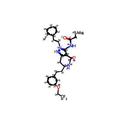 CSCC(=O)Nc1c2c(nn1CCc1ccccc1F)CC(CCc1cccc(OCC(F)(F)F)c1)NC2=O